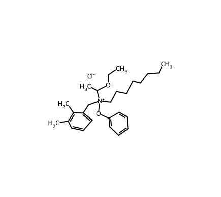 CCCCCCCC[N+](Cc1cccc(C)c1C)(Oc1ccccc1)C(C)OCC.[Cl-]